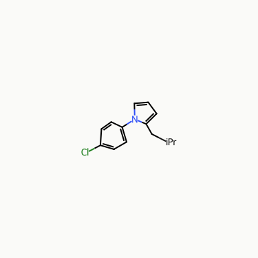 CC(C)Cc1cccn1-c1ccc(Cl)cc1